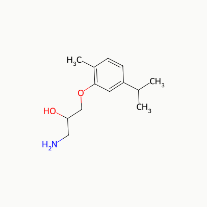 Cc1ccc(C(C)C)cc1OCC(O)CN